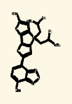 CCCCC(CC)C[Si]1(CC(CC)CCCC)c2cc(-c3ccc(C(C)(C)C)c4nsnc34)sc2-c2sc(C(C)(C)C)cc21